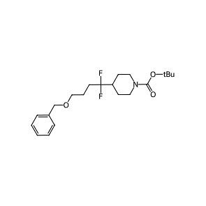 CC(C)(C)OC(=O)N1CCC(C(F)(F)CCCOCc2ccccc2)CC1